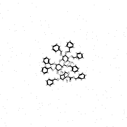 C[C@H]1O[C@@H](O[C@H]2[C@H](OCc3ccccc3)[C@@H](OCc3ccccc3)[C@@H](O[C@@H]3[C@H]4CON(C(=O)OCc5ccccc5)[C@H]4C[C@@H]3OCc3ccccc3)O[C@@H]2COCc2ccccc2)[C@H](OCc2ccccc2)[C@@H](OCc2ccccc2)[C@@H]1OCc1ccccc1